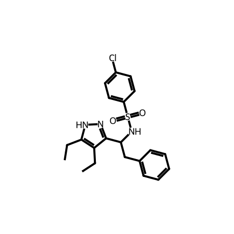 CCc1[nH]nc(C(Cc2ccccc2)NS(=O)(=O)c2ccc(Cl)cc2)c1CC